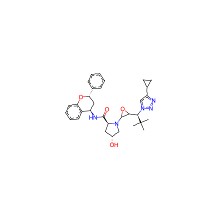 CC(C)(C)[C@@H](C1OC1N1C[C@H](O)C[C@H]1C(=O)N[C@@H]1C[C@@H](c2ccccc2)Oc2ccccc21)n1cc(C2CC2)nn1